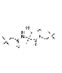 [2H]CC(C)(NC(=O)CC(C)(C)C)NC(=O)CC(C)(C)C